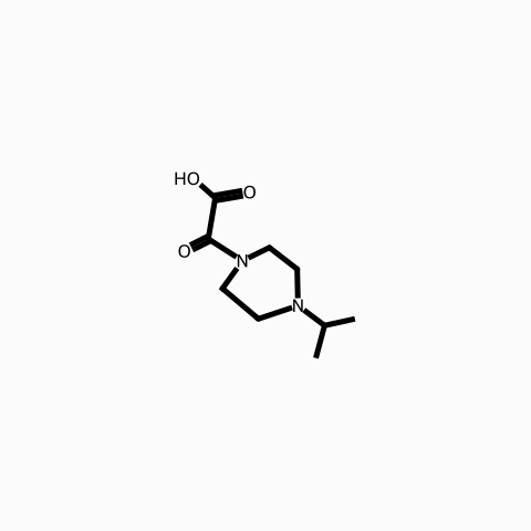 CC(C)N1CCN(C(=O)C(=O)O)CC1